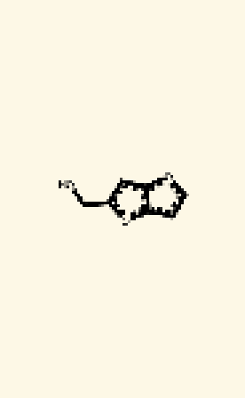 OCc1cc2occc2o1